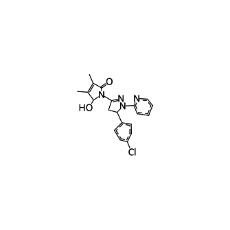 CC1=C(C)C(O)N(C2=NN(c3ccccn3)C(c3ccc(Cl)cc3)C2)C1=O